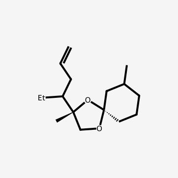 C=CCC(CC)[C@@]1(C)CO[C@@]2(CCCC(C)C2)O1